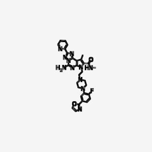 CNC(=O)c1c(C)c2c(nc(N)n3nc(-c4ccccn4)nc23)n1CCN1CCN(c2cc(-c3ncco3)ccc2F)CC1